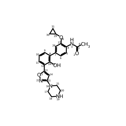 CC(=O)Nc1ccc(-c2cccc(-c3cc(N4CCNCC4)no3)c2O)cc1OC1CC1